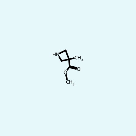 COC(=O)C1(C)CNC1